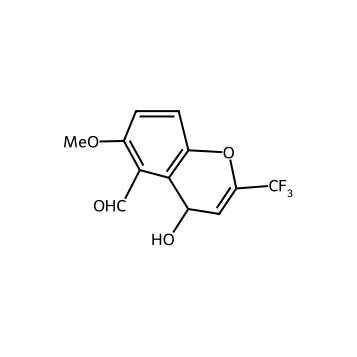 COc1ccc2c(c1C=O)C(O)C=C(C(F)(F)F)O2